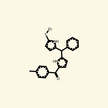 CCSc1ccc(C(c2ccccc2)c2ccc(C(=O)c3ccc(C)cc3)[nH]2)[nH]1